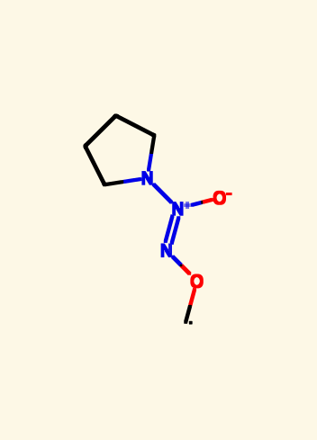 [CH2]O/N=[N+](\[O-])N1CCCC1